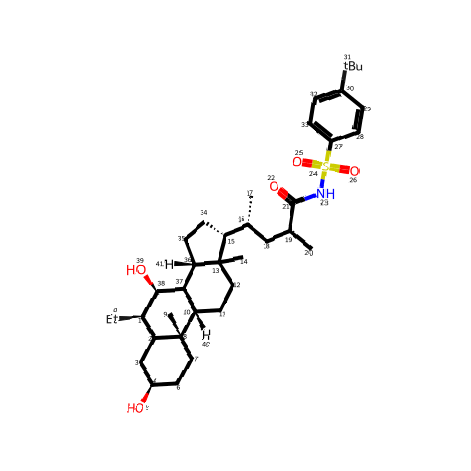 CC[C@@H]1C2C[C@H](O)CC[C@@]2(C)[C@H]2CCC3(C)[C@@H]([C@H](C)CC(C)C(=O)NS(=O)(=O)c4ccc(C(C)(C)C)cc4)CC[C@H]3C2[C@@H]1O